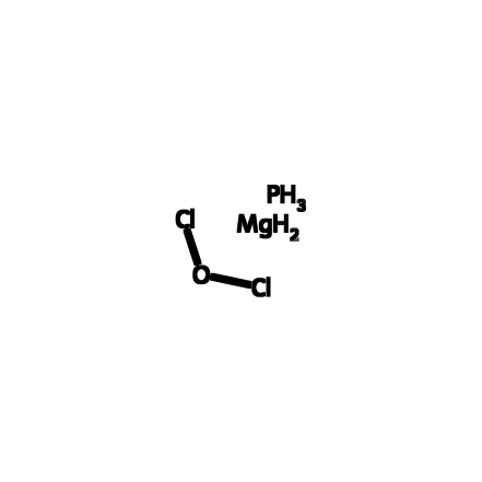 ClOCl.P.[MgH2]